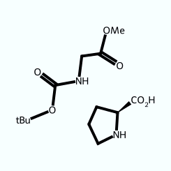 COC(=O)CNC(=O)OC(C)(C)C.O=C(O)[C@@H]1CCCN1